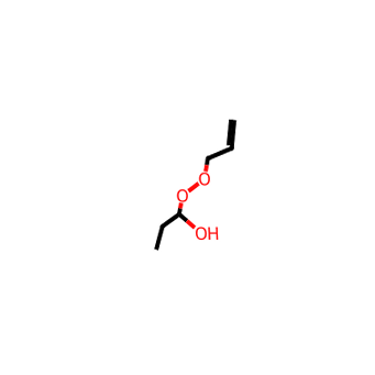 C=CCOOC(O)CC